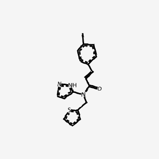 Cc1ccc(C=CC(=O)N(Cc2cccs2)c2ccn[nH]2)cc1